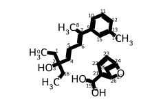 CCC(O)(C=CC=C(C)c1cccc(C)c1)CC.OC(O)c1ccc2cc1O2